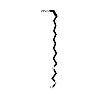 CCCCC/C=C\CCCCCCCCCCOCCOCC